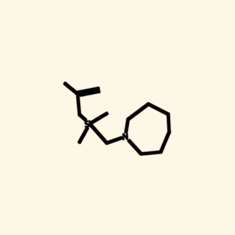 C=C(C)C[Si](C)(C)CN1CCCCCC1